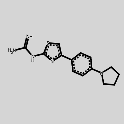 N=C(N)Nc1nc(-c2ccc(N3CCCC3)cc2)cs1